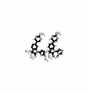 Cc1ncc(-c2ccc3c(c2)N(c2ccc(C)s2)C(=O)C3(C)C)cn1.Cc1ncc(-c2ccc3c(c2)N(c2cncn2C)C(=O)C3(C)C)cn1